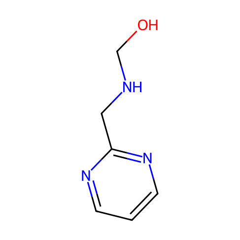 OCNCc1ncccn1